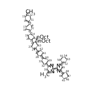 CCCCCCCCC1(CCCCCCCC)c2cc(-c3ccc(-c4ccc(C)cc4)cc3)ccc2-c2ccc(-c3ccc(-c4ccc(-c5cc(C)nc(-c6nc(-c7ccccc7)cc(-c7ccccc7)n6)n5)cc4)cc3)cc21